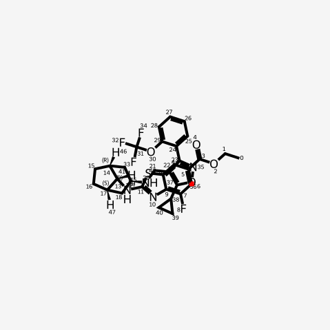 CCOC(=O)c1cc(F)c2nc(N[C@H]3[C@@H]4CC[C@H]3C[C@H](NCc3c(-c5ccccc5OC(F)(F)F)noc3C3CC3)C4)sc2c1